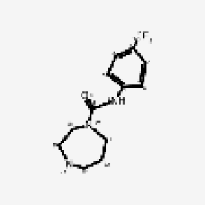 O=C(Nc1ccc(C(F)(F)F)cc1)N1CCC[N]CC1